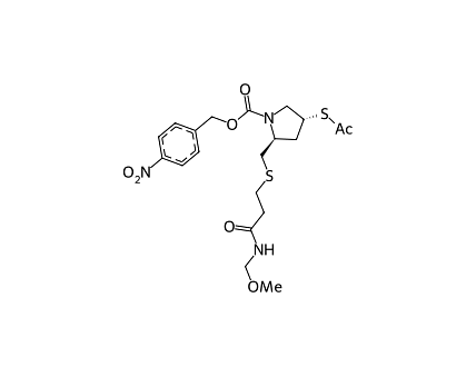 COCNC(=O)CCSC[C@@H]1C[C@@H](SC(C)=O)CN1C(=O)OCc1ccc([N+](=O)[O-])cc1